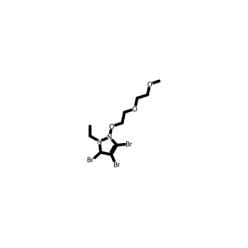 CCN1C(Br)C(Br)=C(Br)N1OCCOCCOC